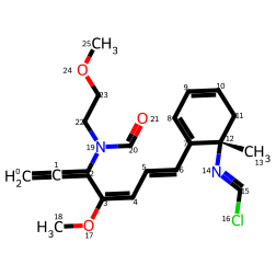 C=C=C(/C(=C\C=C\C1=CC=CC[C@]1(C)/N=C/Cl)OC)N(C=O)CCOC